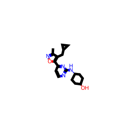 Cc1noc(-c2ccnc(N[C@H]3CC[C@H](O)CC3)n2)c1CC1CC1